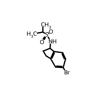 CC(C)S(=O)(=O)NC1CCc2cc(Br)ccc21